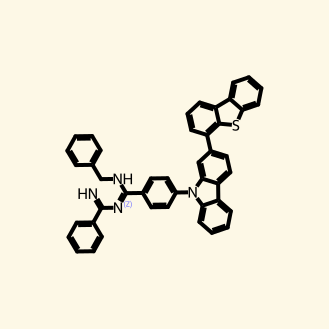 N=C(/N=C(\NCc1ccccc1)c1ccc(-n2c3ccccc3c3ccc(-c4cccc5c4sc4ccccc45)cc32)cc1)c1ccccc1